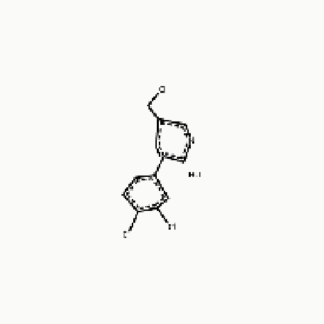 Cl.ClCc1cncc(-c2ccc(Cl)c(Cl)c2)c1